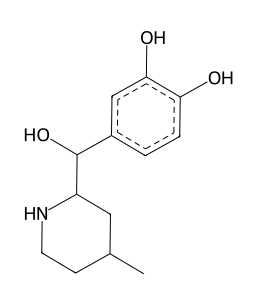 CC1CCNC(C(O)c2ccc(O)c(O)c2)C1